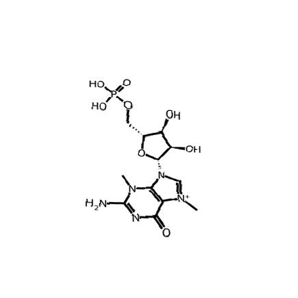 Cn1c(N)nc(=O)c2c1n([C@@H]1O[C@H](COP(=O)(O)O)[C@@H](O)[C@H]1O)c[n+]2C